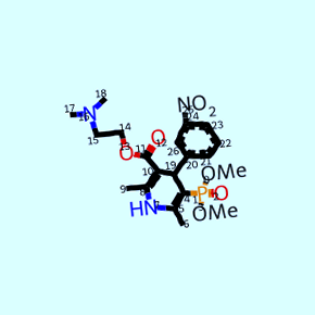 COP(=O)(OC)C1=C(C)NC(C)=C(C(=O)OCCN(C)C)C1c1cccc([N+](=O)[O-])c1